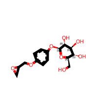 OC[C@H]1O[C@@H](Oc2ccc(OCC3CO3)cc2)[C@H](O)[C@@H](O)[C@@H]1O